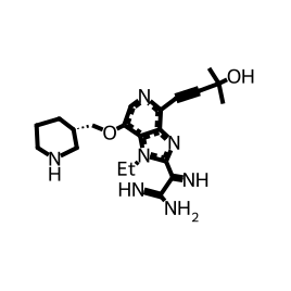 CCn1c(C(=N)C(=N)N)nc2c(C#CC(C)(C)O)ncc(OC[C@H]3CCCNC3)c21